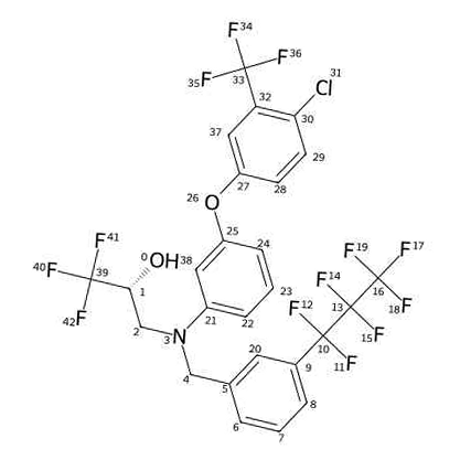 O[C@H](CN(Cc1cccc(C(F)(F)C(F)(F)C(F)(F)F)c1)c1cccc(Oc2ccc(Cl)c(C(F)(F)F)c2)c1)C(F)(F)F